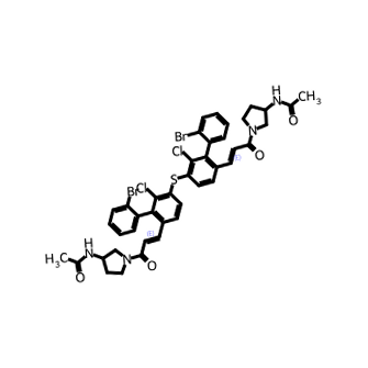 CC(=O)NC1CCN(C(=O)/C=C/c2ccc(Sc3ccc(/C=C/C(=O)N4CCC(NC(C)=O)C4)c(-c4ccccc4Br)c3Cl)c(Cl)c2-c2ccccc2Br)C1